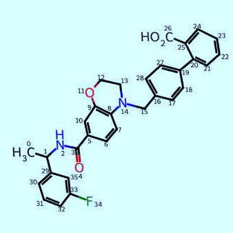 CC(NC(=O)c1ccc2c(c1)OCCN2Cc1ccc(-c2ccccc2C(=O)O)cc1)c1cccc(F)c1